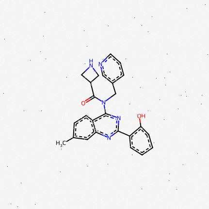 Cc1ccc2c(N(Cc3cccnc3)C(=O)C3CNC3)nc(-c3ccccc3O)nc2c1